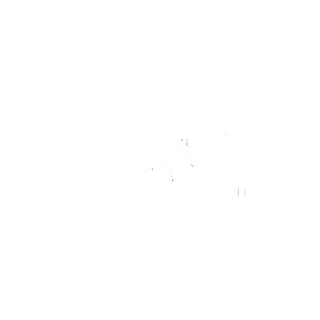 C=C1CCN(c2ccccc2)[C@@H](c2ccc(O)cc2)[C@@H](C)[C@@H](C)C1OCc1ccccc1